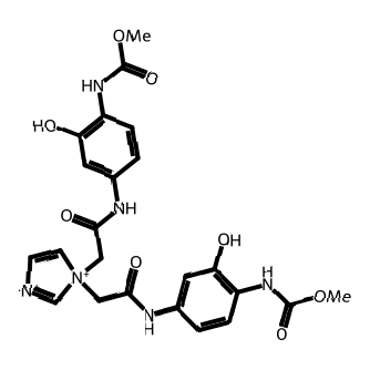 COC(=O)Nc1ccc(NC(=O)C[N+]2(CC(=O)Nc3ccc(NC(=O)OC)c(O)c3)C=C[N+]=C2)cc1O